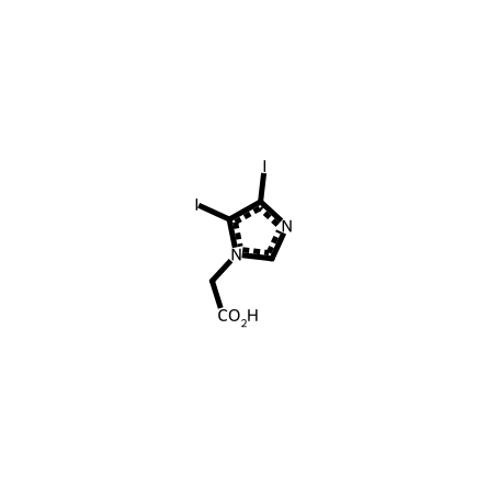 O=C(O)Cn1cnc(I)c1I